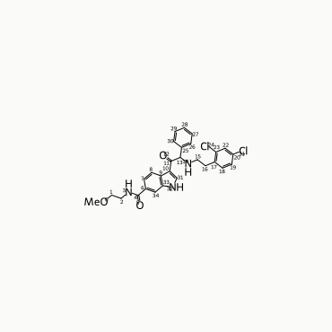 COCCNC(=O)c1ccc2c(C(=O)C(NCCc3ccc(Cl)cc3Cl)c3ccccc3)c[nH]c2c1